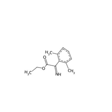 CCOC(=O)C(=N)c1c(C)cccc1C